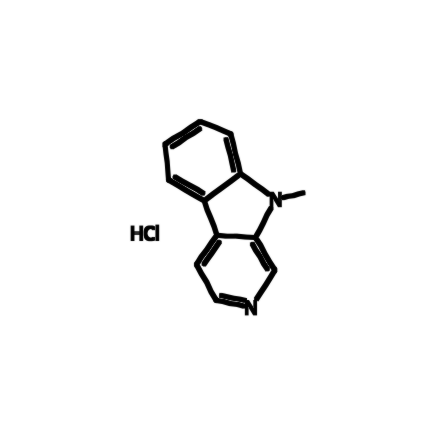 Cl.Cn1c2ccccc2c2ccncc21